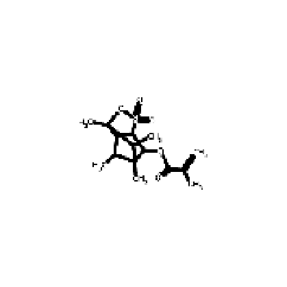 C=C(C)C(=O)OC1C2C3C(C)C1(C)C(C)C3(C)OS2(=O)=O